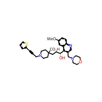 COc1ccc2ncc(CN3CCOCC3)c([C@H](O)CCC3(C(=O)O)CCN(CC#Cc4cccs4)CC3)c2c1